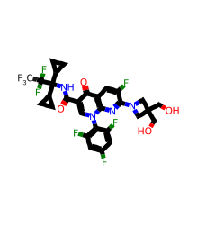 O=C(NC(C1CC1)(C1CC1)C(F)(F)C(F)(F)F)c1cn(-c2c(F)cc(F)cc2F)c2nc(N3CC(CO)(CO)C3)c(F)cc2c1=O